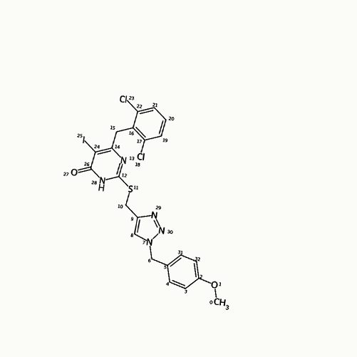 COc1ccc(Cn2cc(CSc3nc(Cc4c(Cl)cccc4Cl)c(I)c(=O)[nH]3)nn2)cc1